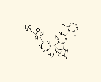 C=Cc1nc(-c2nccc([C@]34CC[C@@H](c5cc(-c6c(F)cccc6F)nnc53)C4(C)C)n2)no1